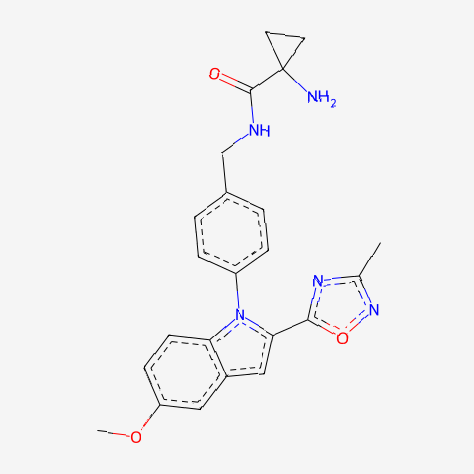 COc1ccc2c(c1)cc(-c1nc(C)no1)n2-c1ccc(CNC(=O)C2(N)CC2)cc1